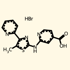 Br.Cc1sc(Nc2cc(C(=O)O)ccn2)nc1-c1ccccn1